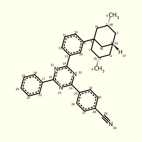 C[C@@H]1C[C@@H]2C[C@H](C)CC(c3cccc(-c4nc(-c5ccccc5)nc(-c5ccc(C#N)cc5)n4)c3)(C1)C2